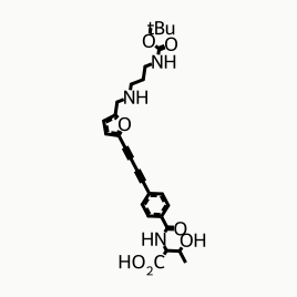 CC(O)C(NC(=O)c1ccc(C#CC#Cc2ccc(CNCCCNC(=O)OC(C)(C)C)o2)cc1)C(=O)O